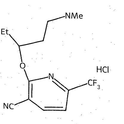 CCC(CCNC)Oc1nc(C(F)(F)F)ccc1C#N.Cl